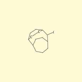 IC1C2CCCC(CC2)C2CCC1CC2